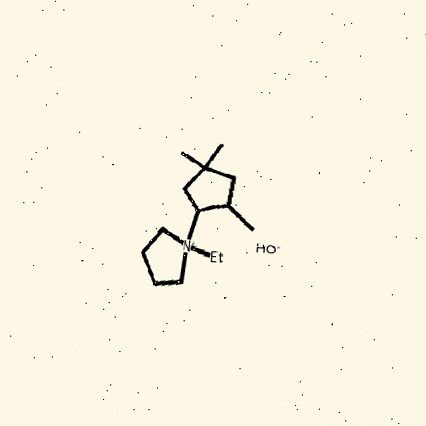 CC[N+]1(C2CC(C)(C)CC2C)CCCC1.[OH-]